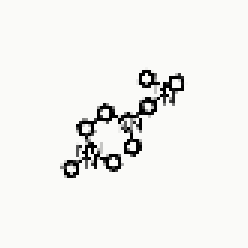 c1ccc(-c2nc(-c3ccc(-c4nc5ccccc5n4-c4ccccc4)cc3)cc(-c3cccc(-c4cccc(-c5nc(-c6ccccc6)nc(-c6ccccc6)n5)c4)c3)n2)cc1